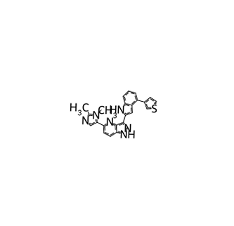 Cc1ncc(-c2ccc3[nH]nc(-c4cc5c(-c6ccsc6)cccc5[nH]4)c3n2)n1C